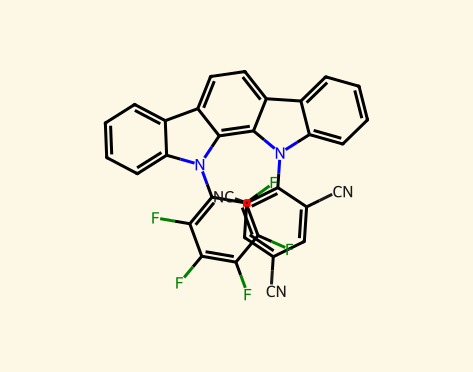 N#Cc1cc(C#N)c(-n2c3ccccc3c3ccc4c5ccccc5n(-c5c(F)c(F)c(F)c(F)c5F)c4c32)c(C#N)c1